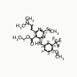 CCOC(=O)c1c(/C=C/N(C)C)nc(SC)nc1Nc1ccc(OC)c(C(F)(F)F)c1